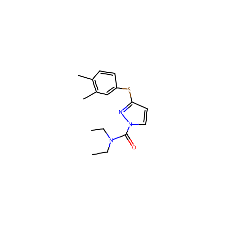 CCN(CC)C(=O)n1ccc(Sc2ccc(C)c(C)c2)n1